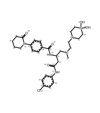 CN(CCN1CCS(O)(O)CC1)CC(CC(=O)Nc1ccc(Cl)cc1)NC(=O)c1ccc(N2CCCCC2=O)cc1